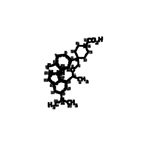 CC(OCC1(c2ccc(F)cc2)CCN(C(=O)O)CC1)c1cc(N(C)C)cc2cn[nH]c12